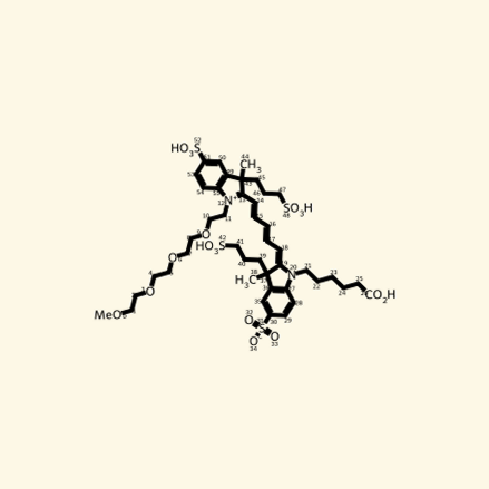 COCCOCCOCCOCC[N+]1=C(/C=C/C=C/C=C2/N(CCCCCC(=O)O)c3ccc(S(=O)(=O)[O-])cc3C2(C)CCCS(=O)(=O)O)C(C)(CCCS(=O)(=O)O)c2cc(S(=O)(=O)O)ccc21